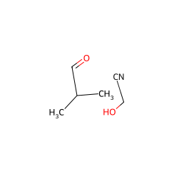 CC(C)C=O.N#CCO